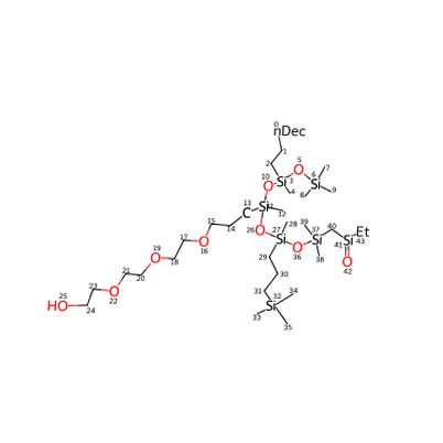 CCCCCCCCCCCC[Si](C)(O[Si](C)(C)C)O[Si](C)(CCCOCCOCCOCCO)O[Si](C)(CCC[Si](C)(C)C)O[Si](C)(C)C[Si](=O)CC